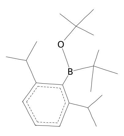 CC(C)c1cccc(C(C)C)c1B(OC(C)(C)C)C(C)(C)C